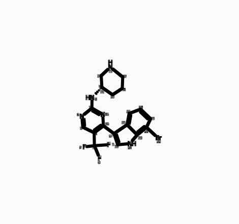 FC(F)(F)c1cnc(N[C@H]2CCCNC2)nc1-c1c[nH]c2c(Br)cccc12